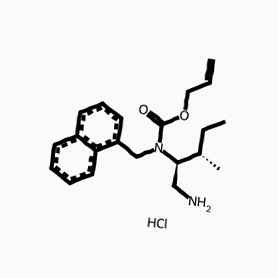 C=CCOC(=O)N(Cc1cccc2ccccc12)[C@H](CN)[C@@H](C)CC.Cl